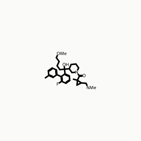 CNCC1CC1(C)C(=O)N1CCCC(C(O)(CCCCOC)c2cccc(F)c2-c2cccc(C)c2)C1